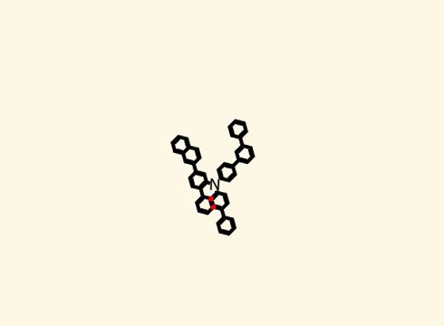 c1ccc(-c2ccc(N(c3ccc(-c4cccc(-c5ccccc5)c4)cc3)c3cc(-c4ccc5ccccc5c4)ccc3-c3ccccc3)cc2)cc1